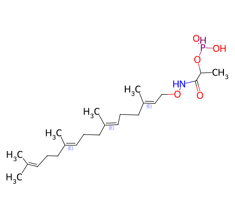 CC(C)=CCC/C(C)=C/CC/C(C)=C/CC/C(C)=C/CONC(=O)C(C)O[PH](=O)O